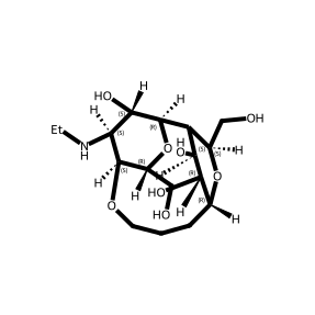 CCN[C@H]1[C@H](O)[C@@H]2O[C@H](CO)[C@H]1OCCC[C@H]1O[C@H](CO)C2[C@H](O)[C@H]1O